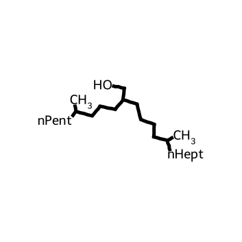 CCCCCCCC(C)CCCCC(CO)CCCC(C)CCCCC